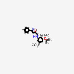 CCC(CC)O[C@@H]1C=C(C(=O)O)C[C@H](NCc2cc(-c3ccccc3)no2)[C@H]1NC(C)=O